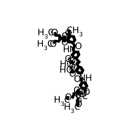 COCCN(CCOC)S(=O)(=O)c1cc(C(=O)Nc2ccc(/C=C/c3ccc(NC(=O)c4ccc(OC)c(S(=O)(=O)N(CCOC)CCOC)c4)cc3S(=O)(=O)O)c(S(=O)(=O)O)c2)ccc1OC